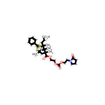 CC(C)(CC(C)(C(=O)OCCOC(=O)OCCN1CCCC1=O)C(C)(C)C(C)(C#N)CCC(=O)O)SC(=S)c1ccccc1